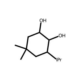 CC(C)C1CC(C)(C)CC(O)C1O